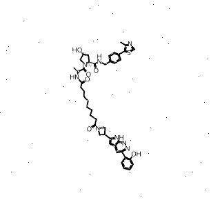 Cc1ncsc1-c1ccc(CNC(=O)[C@@H]2C[C@@H](O)CN2C(=O)[C@H](C)NC(=O)CCCCCCCCC(=O)N2CC(c3cc4cc(-c5ccccc5O)nnc4[nH]3)C2)cc1